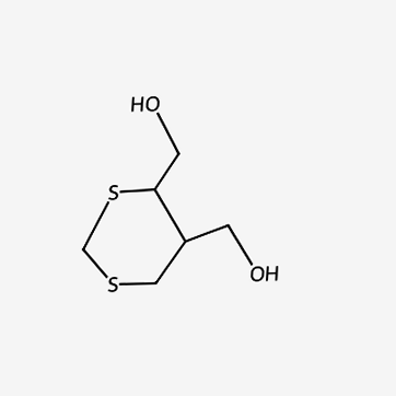 OCC1CSCSC1CO